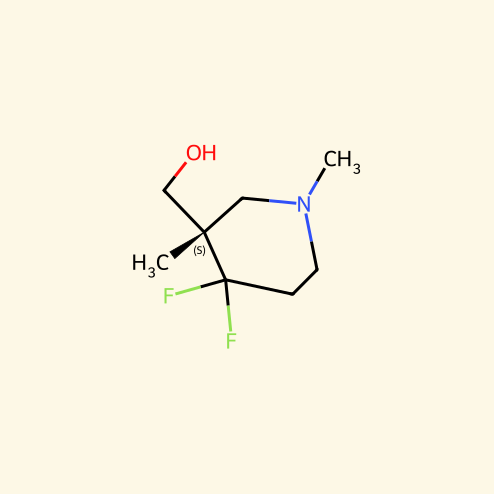 CN1CCC(F)(F)[C@](C)(CO)C1